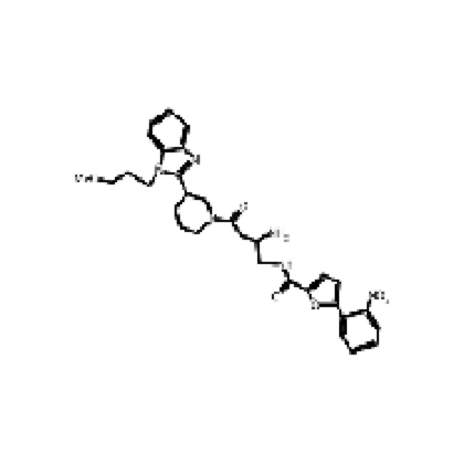 COCCCn1c(C2CCCN(C(=O)CC(N)CNC(=O)c3ccc(-c4ccccc4[N+](=O)[O-])o3)C2)nc2ccccc21